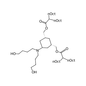 CCCCCCCCC(CCCCCCCC)C(=O)OC[C@@H]1CC(N(CCCCO)CCCCO)C[C@H](COC(=O)C(CCCCCCCC)CCCCCCCC)C1